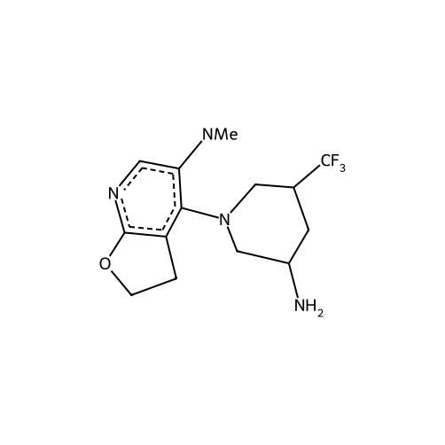 CNc1cnc2c(c1N1CC(N)CC(C(F)(F)F)C1)CCO2